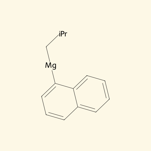 CC(C)[CH2][Mg][c]1cccc2ccccc12